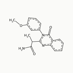 COc1cccc(-n2c(C(C)C(N)=O)nc3ccccc3c2=O)c1